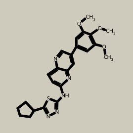 COc1cc(-c2cnc3ccc(Nc4nnc(C5CCCC5)s4)nc3c2)cc(OC)c1OC